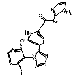 O=C(Nc1ncc[nH]1)c1cc(-c2nnnn2-c2c(Cl)cccc2Cl)c[nH]1